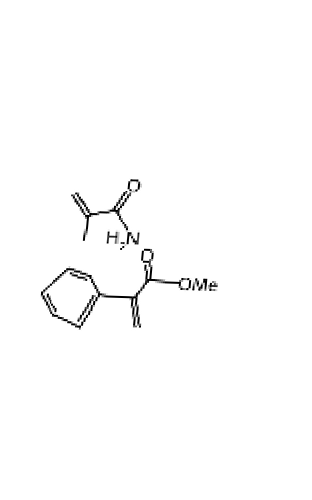 C=C(C(=O)OC)c1ccccc1.C=C(C)C(N)=O